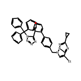 CCc1cn(Cc2ccc(-c3ccccc3-c3nnnn3C(c3ccccc3)(c3ccccc3)c3ccccc3)cc2)n2nc(C3CC3)nc12